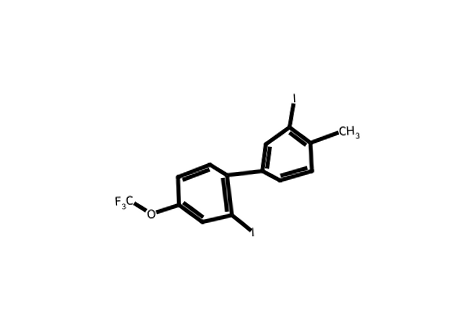 Cc1ccc(-c2ccc(OC(F)(F)F)cc2I)cc1I